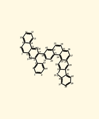 c1ccc(-c2nc3ccc4ccccc4c3nc2-c2ccc3c(ccc4ccc5cc6c(cc5c43)sc3ccccc36)c2)cc1